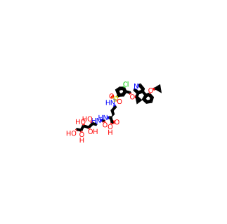 O=C(NCC(O)C(O)C(O)C(O)CO)N[C@@H](CCCNS(=O)(=O)c1ccc(Cl)c(COC2(c3cnccc3-c3ccccc3OC3CC3)CC2)c1)C(=O)O